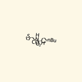 CCCCc1ccc(C(=O)N/C(=C/c2cccs2)C(=O)O)cc1